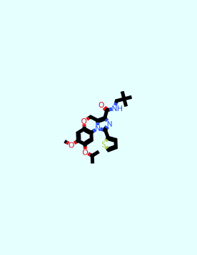 COc1cc2c(cc1OC(C)C)-n1c(-c3cccs3)nc(C(=O)NCC(C)(C)C)c1CO2